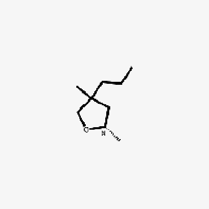 CCCC1(C)CO[C@@H](C)C1